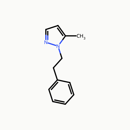 Cc1ccnn1CCc1ccccc1